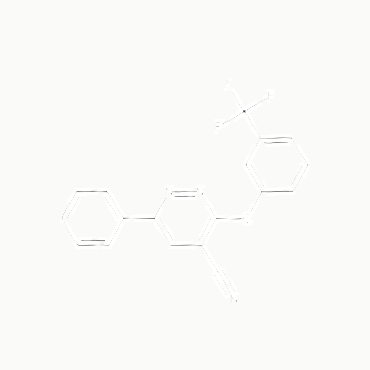 N#Cc1cc(-c2ccccc2)nnc1Oc1cccc(C(F)(F)F)c1